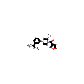 CC(C)c1c[c]cc(N2CCN(C(=O)c3ccoc3)[C@@H](C)C2)c1